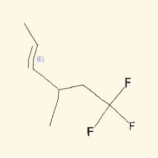 C/C=C/C(C)CC(F)(F)F